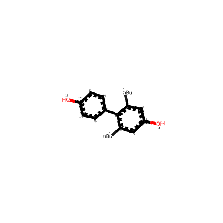 CCCCc1cc(O)cc(CCCC)c1-c1ccc(O)cc1